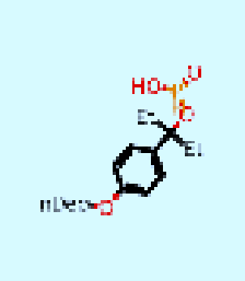 CCCCCCCCCCOc1ccc(C(CC)(CC)O[PH](=O)O)cc1